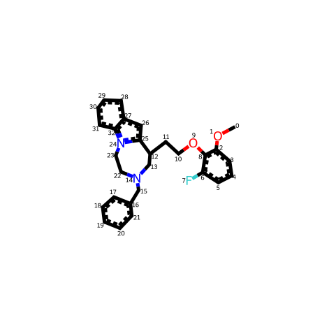 COc1cccc(F)c1OCCC1CN(Cc2ccccc2)CCn2c1cc1ccccc12